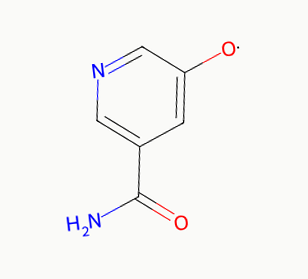 NC(=O)c1cncc([O])c1